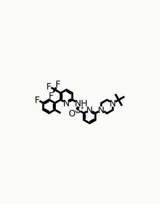 Cc1ccc(F)cc1-c1nc(N[S+]([O-])c2cccc(N3CCN(C(C)(C)C)CC3)n2)ccc1C(F)(F)F